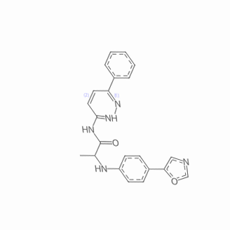 C/N=C(\C=C/C(=N)NC(=O)C(C)Nc1ccc(-c2cnco2)cc1)c1ccccc1